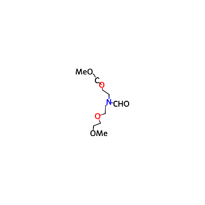 COCCOCCN(C=O)CCOCCOC